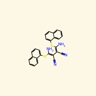 N#CC(=C(N)Sc1cccc2ccccc12)C(C#N)=C(N)Sc1cccc2ccccc12